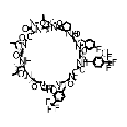 CC[C@H](C)[C@@H]1NC(=O)[C@H](CC(C)C)N(C)C(=O)C[C@@H](C(=O)N(C)C)N(C)C(=O)[C@H]([C@@H](C)CC)N(C)C(=O)C2(CCCC2)NC(=O)[C@H](Cc2ccc(F)cc2)N(C)C(=O)[C@H](CCc2ccc(C(F)(F)F)c(Cl)c2)NC(=O)CN(C)C(=O)[C@H](Cc2ccc(C(F)(F)F)cc2)N(C)C(=O)[C@@H]2CCN2C(=O)[C@H](C)N(C)C1=O